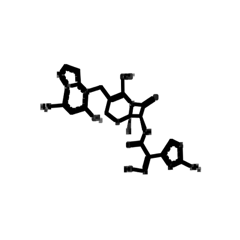 Cc1cc(N)[n+]2nccc-2n1CC1=C(C(=O)[O-])N2C(=O)[C@@H](NC(=O)/C(=N\O)c3csc(N)n3)[C@H]2SC1